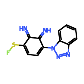 N=C1C(=N)C(n2nnc3ccccc32)=CC=C1SF